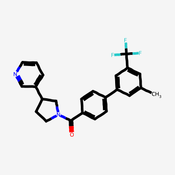 Cc1cc(-c2ccc(C(=O)N3CCC(c4cccnc4)C3)cc2)cc(C(F)(F)F)c1